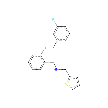 Fc1cccc(COc2ccccc2CNCc2cccs2)c1